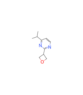 CC(C)c1ccnc(C2COC2)n1